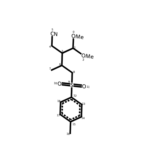 COC(OC)C(CC#N)C(C)CS(=O)(=O)c1ccc(C)cc1